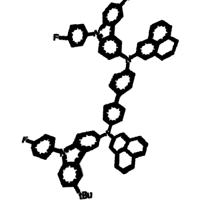 CC(C)(C)c1ccc2c(c1)c1cc(N(C3=CC4=CC=CC5=CC=CC(=C3)C54)c3ccc(-c4ccc(N(c5cc6c7c(cccc7c5)CC=C6)c5ccc6c(c5)c5cc(C(C)(C)C)ccc5n6-c5ccc(F)cc5)cc4)cc3)ccc1n2-c1ccc(F)cc1